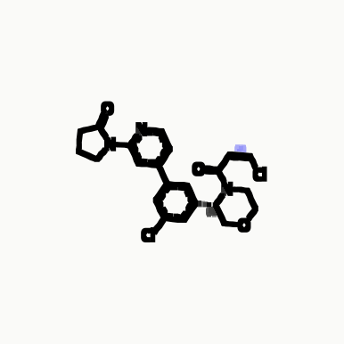 O=C1CCCN1c1cc(-c2cc(Cl)cc([C@H]3COCCN3C(=O)/C=C\Cl)c2)ccn1